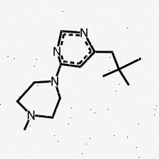 CN1CCN(c2cc(CC(C)(C)C)ncn2)CC1